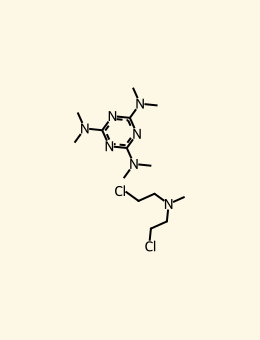 CN(C)c1nc(N(C)C)nc(N(C)C)n1.CN(CCCl)CCCl